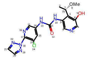 CO[C@@H](C)c1c(O)cncc1NC(=O)Nc1cnc(-n2nccn2)c(Cl)c1